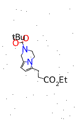 CCOC(=O)CCc1ccc2n1CCN(C(=O)OC(C)(C)C)C2